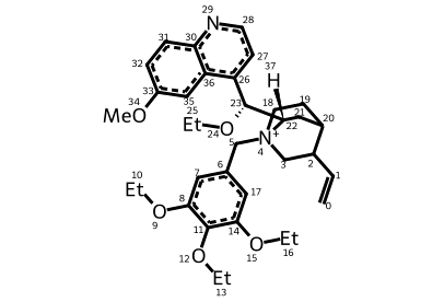 C=CC1C[N+]2(Cc3cc(OCC)c(OCC)c(OCC)c3)CCC1C[C@H]2[C@H](OCC)c1ccnc2ccc(OC)cc12